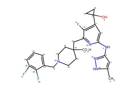 Cc1cc(Nc2cc(C3(O)CC3)c(F)c(CC3(C(=O)O)CCN(Cc4cccc(F)c4F)CC3)n2)n[nH]1